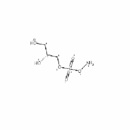 NOS(=O)(=O)OC[C@H](O)CO